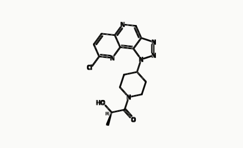 C[C@@H](O)C(=O)N1CCC(n2nnc3cnc4ccc(Cl)nc4c32)CC1